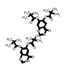 CC(C)(C)C(=O)Oc1cc2nc[nH]c(=O)c2cc1OC(=O)C(C)(C)C.CC(C)(C)C(=O)Oc1cc2ncnc(Cl)c2cc1OC(=O)C(C)(C)C